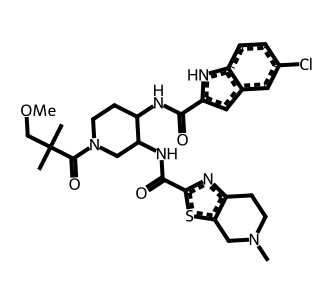 COCC(C)(C)C(=O)N1CCC(NC(=O)c2cc3cc(Cl)ccc3[nH]2)C(NC(=O)c2nc3c(s2)CN(C)CC3)C1